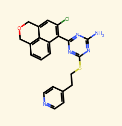 Nc1nc(SCCc2ccncc2)nc(-c2c(Cl)cc3c4c(cccc24)COC3)n1